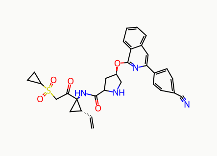 C=C[C@@H]1C[C@]1(NC(=O)C1C[C@@H](Oc2nc(-c3ccc(C#N)cc3)cc3ccccc23)CN1)C(=O)CS(=O)(=O)C1CC1